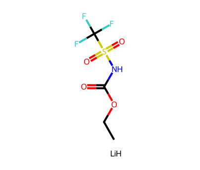 CCOC(=O)NS(=O)(=O)C(F)(F)F.[LiH]